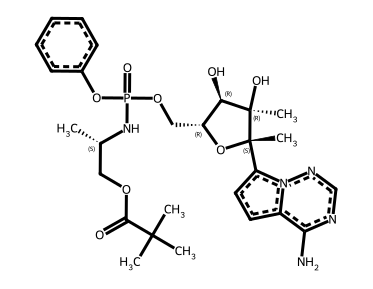 C[C@@H](COC(=O)C(C)(C)C)NP(=O)(OC[C@H]1O[C@@](C)(c2ccc3c(N)ncnn23)[C@](C)(O)[C@@H]1O)Oc1ccccc1